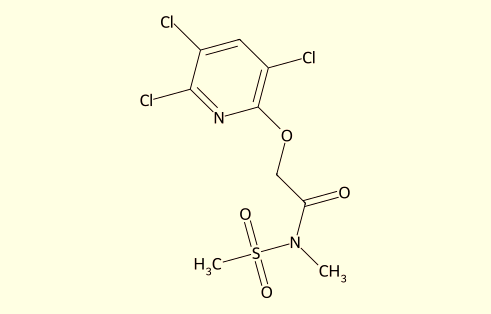 CN(C(=O)COc1nc(Cl)c(Cl)cc1Cl)S(C)(=O)=O